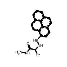 CCC(NBc1ccc2ccc3cccc4ccc1c2c34)C(=O)NN